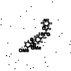 COc1cccc(S(=O)(=O)c2ccc(CNC(=O)c3cc4ccncc4o3)cc2)c1OC